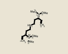 C=CC(CCNCCC(C=C)[SiH](OC)OC)[SiH](OC)OC